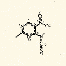 Cc1ncc([N+](=O)[O-])c(N=C=S)n1